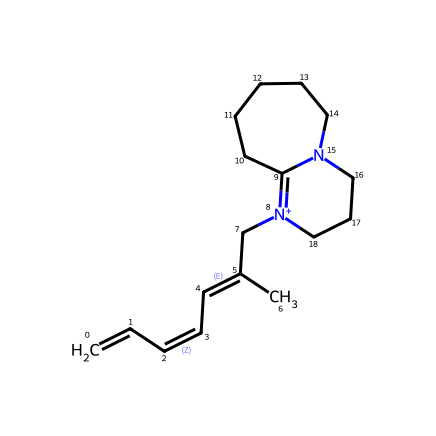 C=C/C=C\C=C(/C)C[N+]1=C2CCCCCN2CCC1